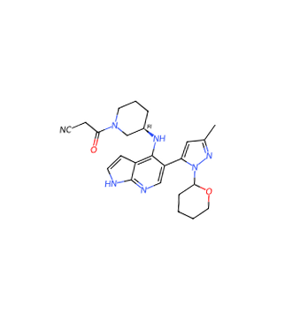 Cc1cc(-c2cnc3[nH]ccc3c2N[C@@H]2CCCN(C(=O)CC#N)C2)n(C2CCCCO2)n1